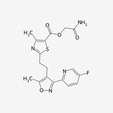 Cc1nc(CCc2c(-c3ccc(F)cn3)noc2C)sc1C(=O)OCC(N)=O